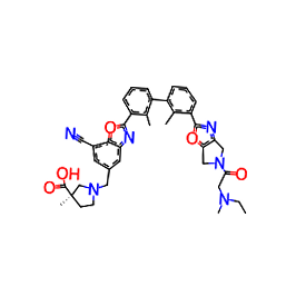 CCN(C)CC(=O)N1Cc2nc(-c3cccc(-c4cccc(-c5nc6cc(CN7CC[C@@](C)(C(=O)O)C7)cc(C#N)c6o5)c4C)c3C)oc2C1